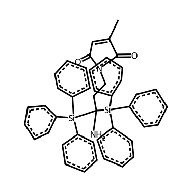 CC1=CC(=O)N(CCC(N)([Si](c2ccccc2)(c2ccccc2)c2ccccc2)[Si](c2ccccc2)(c2ccccc2)c2ccccc2)C1=O